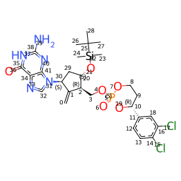 C=C1[C@H](CO[P@]2(=O)OCC[C@H](c3ccc(Cl)c(Cl)c3)O2)[C@@H](O[Si](C)(C)C(C)(C)C)C[C@@H]1n1cnc2c(=O)[nH]c(N)nc21